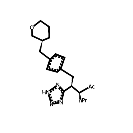 CCC[C@H](C(C)=O)[C@H](Cc1ccc(C[C@@H]2CCCOC2)cc1)c1nn[nH]n1